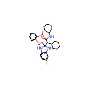 COc1ccccc1OCC1(C(C(=O)NC2CCCCC2)C2CCCCC2)Nc2ccc(F)cc2N1